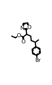 CCOC(=O)C(CCC(C)c1ccc(Br)cc1)c1ncco1